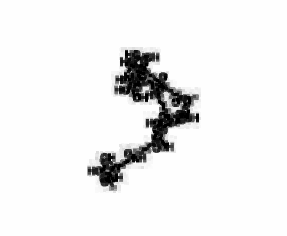 CC(=O)NC1C(O)[C@@H](O)C(CO)O[C@H]1OCCCCC(=O)NCCCCCC(=O)N1C[C@H](C)C[C@H]1COP(=O)(O)O[C@@H]1C[C@@H](COP(=O)(O)O[C@@H]2C[C@@H](CO)N(C(=O)CCCCCNC(=O)CCCCO[C@@H]3OC(CO)[C@H](O)C(O)C3NC(C)=O)C2)N(C(=O)CCCCCNC(=O)CCCCO[C@@H]2OC(CO)[C@H](O)C(O)C2NC(C)=O)C1